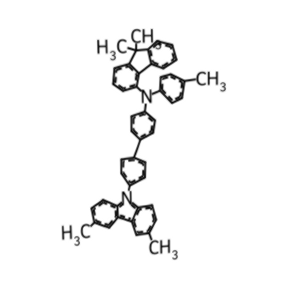 Cc1ccc(N(c2ccc(-c3ccc(-n4c5ccc(C)cc5c5cc(C)ccc54)cc3)cc2)c2cccc3c2-c2ccccc2C3(C)C)cc1